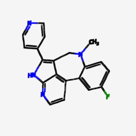 CN1Cc2c(-c3ccncc3)[nH]c3nccc(c23)-c2cc(F)ccc21